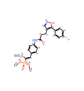 CCOC(=O)/C(=C\c1ccc(NC(=O)CCc2cnoc2-c2ccc(F)cc2)cc1)P(=O)(OCC)OCC